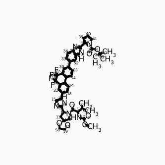 COC(=O)NC(C(=O)N1CC2(CC1c1ncc(-c3ccc4c(c3)C(F)(F)C(F)(F)c3cc(-c5ccc6nc(-c7cccn7C(=O)OC(C)(C)C)[nH]c6c5)ccc3-4)[nH]1)OCCO2)C(C)C